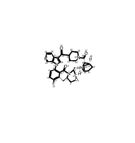 C[C@@H]1COC[C@H](C)N1C(=O)c1cc(F)ccc1-n1cc(C(=O)C2CCN(C(=O)[C@H]3N[C@@H]4CC[C@H]3C4)CC2)c2ccncc21